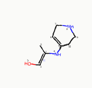 C/C(=C\O)NC1=CCNCC1